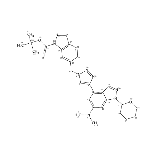 CN(C)c1cc(-c2cn(Cc3ccc4ccn(C(=O)OC(C)(C)C)c4c3)nn2)c2cnn(C3CCCCO3)c2c1